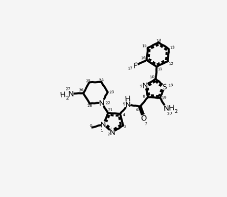 Cn1ncc(NC(=O)c2nc(-c3ccccc3F)sc2N)c1N1CCCC(N)C1